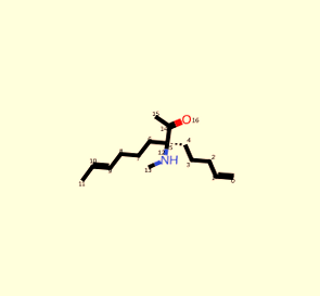 C=CCCC[C@@](CCCC=CC)(NC)C(C)=O